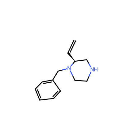 C=C[C@H]1CNCCN1Cc1ccccc1